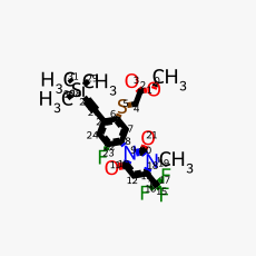 COC(=O)CSc1cc(-n2c(=O)cc(C(F)(F)F)n(C)c2=O)c(F)cc1C#C[Si](C)(C)C